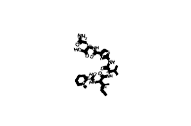 CC[C@H](C)C(NC(O)[C@H]1CCCCN1C)C(=O)N[C@H](C(=O)Nc1nc(C(=O)N[C@@H](CC(N)=O)C(=O)O)cs1)C(C)C